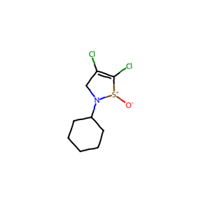 [O-][S+]1C(Cl)=C(Cl)CN1C1CCCCC1